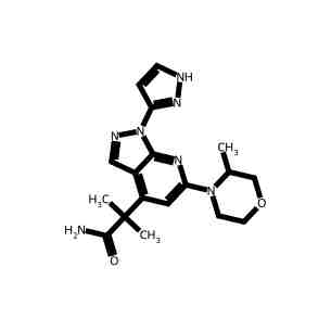 CC1COCCN1c1cc(C(C)(C)C(N)=O)c2cnn(-c3cc[nH]n3)c2n1